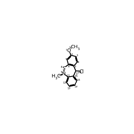 COc1ccc2c(c1)SN(C)c1ccccc1C2Cl